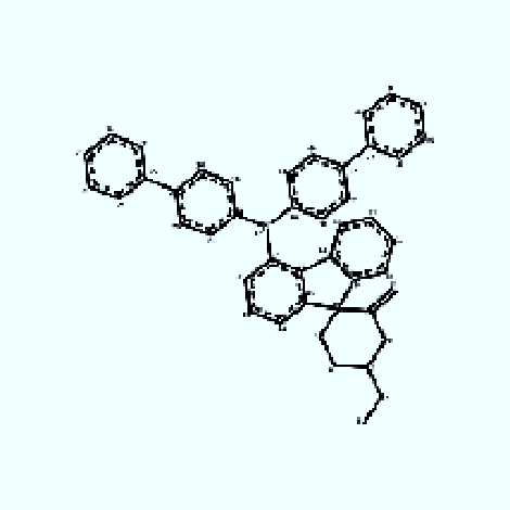 C=C1CC(CC)CCC12c1ccccc1-c1c(N(c3ccc(-c4ccccc4)cc3)c3ccc(-c4ccccc4)cc3)cccc12